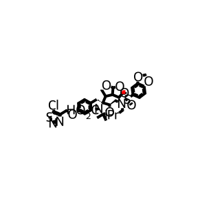 CC(C)CN(C[C@H]1OC(C)(C)N(C(=O)O)[C@@]1(Cc1ccc(OCc2nnsc2Cl)cc1)C1COC2OCCC21)S(=O)(=O)c1ccc2c(c1)OCO2